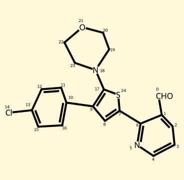 O=Cc1cccnc1-c1cc(-c2ccc(Cl)cc2)c(N2CCOCC2)s1